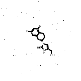 OCc1cn([C@H]2CCc3c(F)cc(F)cc3C2)c(=S)[nH]1